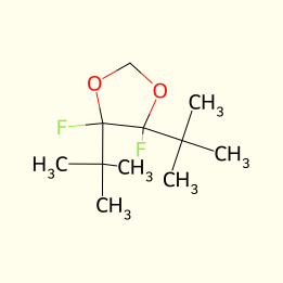 CC(C)(C)C1(F)OCOC1(F)C(C)(C)C